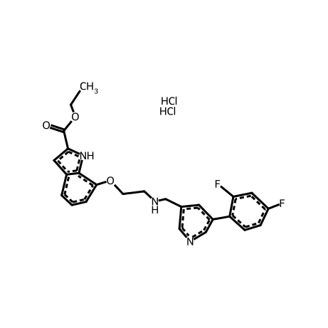 CCOC(=O)c1cc2cccc(OCCNCc3cncc(-c4ccc(F)cc4F)c3)c2[nH]1.Cl.Cl